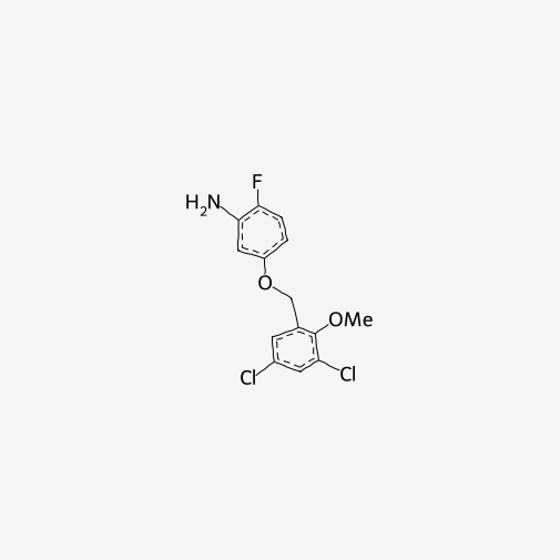 COc1c(Cl)cc(Cl)cc1COc1ccc(F)c(N)c1